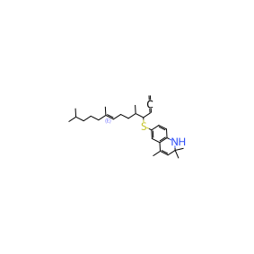 C=C=CC(Sc1ccc2c(c1)C(C)=CC(C)(C)N2)C(C)CC/C=C(\C)CCCC(C)C